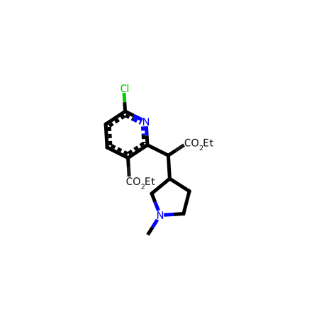 CCOC(=O)c1ccc(Cl)nc1C(C(=O)OCC)C1CCN(C)C1